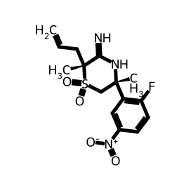 C=CC[C@]1(C)C(=N)N[C@](C)(c2cc([N+](=O)[O-])ccc2F)CS1(=O)=O